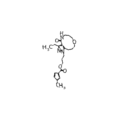 CCc1nn(CCCOC(=O)C2=CC(C)C=C2)c2c1C(=O)NCCCOCCC2